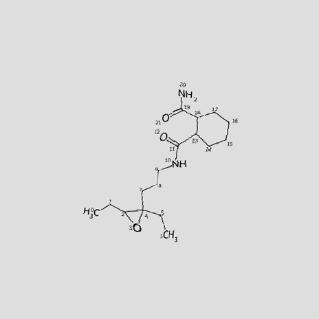 CCC1OC1(CC)CCCNC(=O)C1CCCCC1C(N)=O